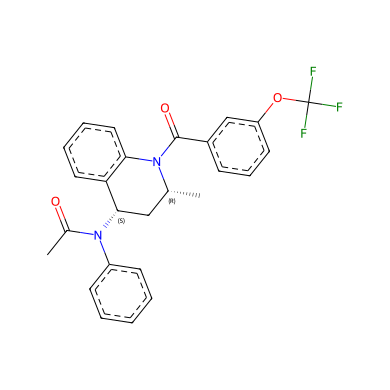 CC(=O)N(c1ccccc1)[C@H]1C[C@@H](C)N(C(=O)c2cccc(OC(F)(F)F)c2)c2ccccc21